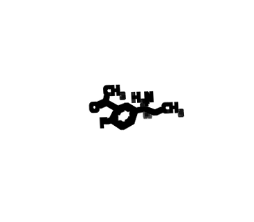 CC[C@@H](N)c1ccc(F)c(C(C)=O)c1